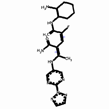 C=C(NC1CCCCC1N)/C(F)=C\C(C(N)=O)=C(/C)Nc1cnc(-n2nccn2)nc1